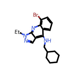 CCn1ncc2c(NCC3CCCCC3)c3cccc(Br)c3nc21